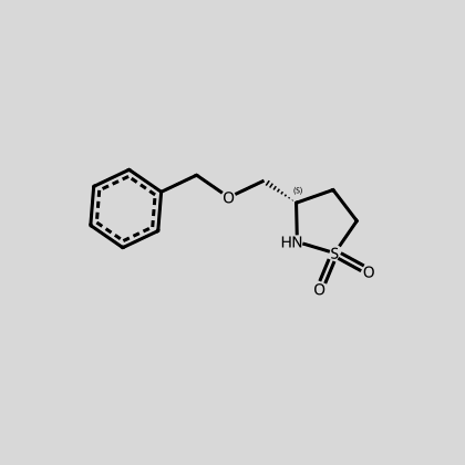 O=S1(=O)CC[C@@H](COCc2ccccc2)N1